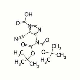 CC(C)(C)OC(=O)N(C(=O)OC(C)(C)C)c1ncn(C(=O)O)c1C#N